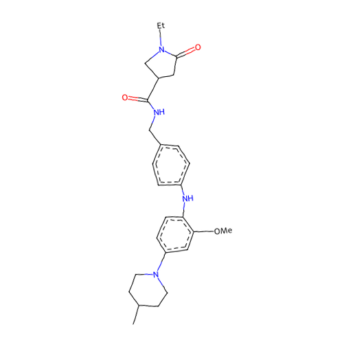 CCN1CC(C(=O)NCc2ccc(Nc3ccc(N4CCC(C)CC4)cc3OC)cc2)CC1=O